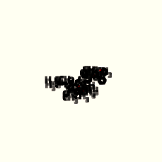 COCOc1c(OC)c(OC)cc(/C=C/C[C@@H]2OC(C)(C)O[C@@H]2C(/C=C\CC(C)O[Si](c2ccccc2)(c2ccccc2)C(C)(C)C)O[Si](C)(C)C(C)(C)C)c1C(=O)OCC[Si](C)(C)C